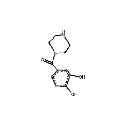 O=C(c1ccc(O)c(O)c1)N1CCNCC1